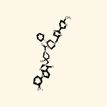 Cc1ccc(-c2ncc(CN3CC[C@@H](C(=O)N4CCC(O)(Cn5cnc6c(ccn6-c6cccc(C(F)(F)F)c6)c5=O)CC4)[C@H](c4ccccc4)C3)s2)cn1